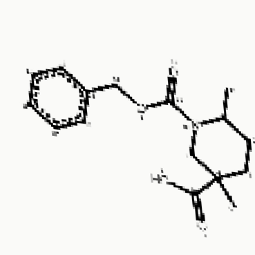 CC1CCC(C)(C(=O)O)CN1C(=O)OCc1ccccc1